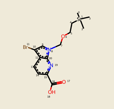 C[Si](C)(C)CCOCn1cc(Br)c2ccc(C(=O)O)nc21